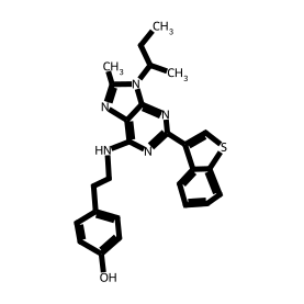 CCC(C)n1c(C)nc2c(NCCc3ccc(O)cc3)nc(-c3csc4ccccc34)nc21